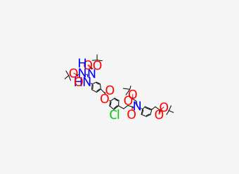 CC(C)(C)OC(=O)Cc1cccc(N(CC(=O)OC(C)(C)C)C(=O)CCc2ccc(OC(=O)c3ccc(NC(=NC(=O)OC(C)(C)C)NC(=O)OC(C)(C)C)cc3)cc2Cl)c1